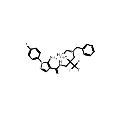 CCN(Cc1ccccc1)CC(O)(CNC(=O)c1cnn(-c2ccc(F)cc2)c1N)C(F)(F)F